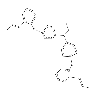 CC=Cc1ccccc1Oc1ccc(C(CC)c2ccc(Oc3ccccc3C=CC)cc2)cc1